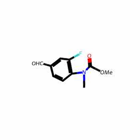 COC(=O)N(C)c1ccc(C=O)cc1F